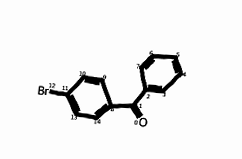 O=C(c1c[c]ccc1)c1ccc(Br)cc1